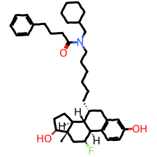 C[C@]12C[C@H](F)[C@@H]3c4ccc(O)cc4C[C@@H](CCCCCCN(CC4CCCCC4)C(=O)CCCc4ccccc4)[C@H]3[C@@H]1CC[C@@H]2O